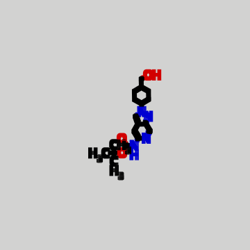 CC(C)(C)OC(=O)Nc1cc2cn(C3CCC(CO)CC3)nc2cn1